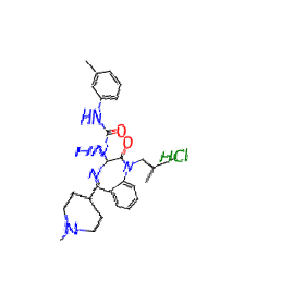 Cc1cccc(NC(=O)NC2N=C(C3CCN(C)CC3)c3ccccc3N(CC(C)C)C2=O)c1.Cl